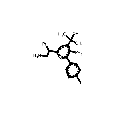 CC(C)C(CN)c1cc(C(C)(C)O)c(P)c(-c2ccc(I)cc2)n1